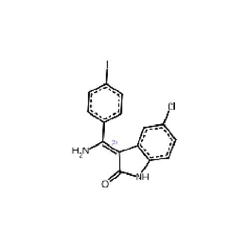 N/C(=C1\C(=O)Nc2ccc(Cl)cc21)c1ccc(I)cc1